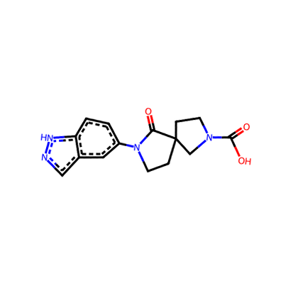 O=C(O)N1CCC2(CCN(c3ccc4[nH]ncc4c3)C2=O)C1